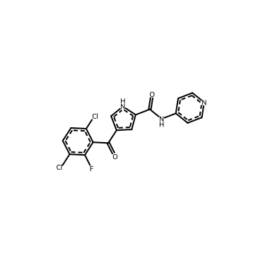 O=C(Nc1ccncc1)c1cc(C(=O)c2c(Cl)ccc(Cl)c2F)c[nH]1